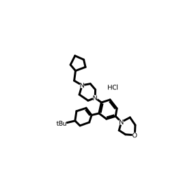 CC(C)(C)C1CC=C(c2cc(N3CCOCC3)ccc2N2CCN(CC3CCCC3)CC2)CC1.Cl